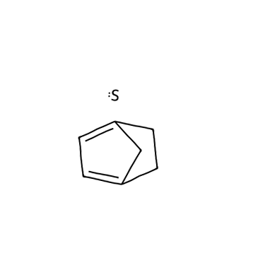 C1=C2CCC(=C1)C2.[S]